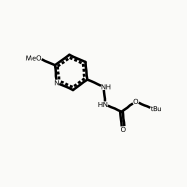 COc1ccc(NNC(=O)OC(C)(C)C)cn1